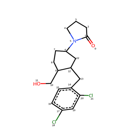 O=C1CCCN1C1CCC(CO)C(Cc2ccc(Cl)cc2Cl)C1